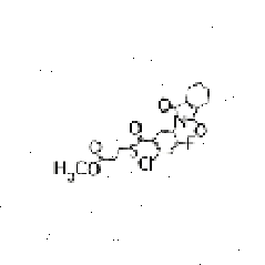 COC(=O)CCSC(=O)c1cc(N2C(=O)C3=C(CCCC3)C2=O)c(F)cc1Cl